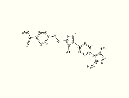 CCc1c(-c2ccc(-n3c(C)ccc3C)cc2)nnn1SCc1ccc(C(=O)OC)cc1